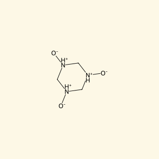 [O-][NH+]1C[NH+]([O-])C[NH+]([O-])C1